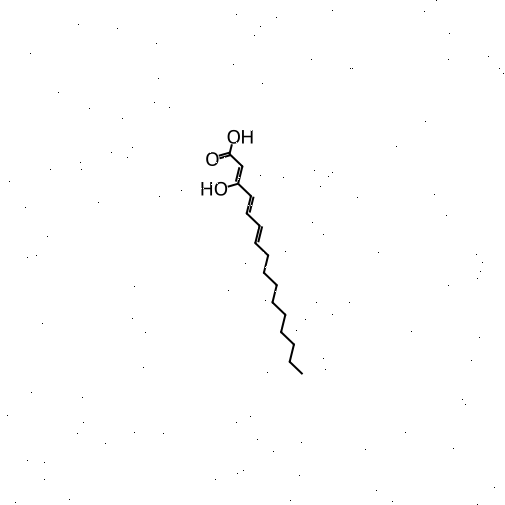 CCCCCCCCCC=CC=CC(O)=CC(=O)O